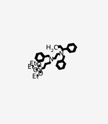 C=CC(c1ccccc1)N(CCN(CCC[Si](OCC)(OCC)OCC)Cc1ccccc1)Cc1ccccc1